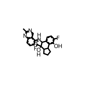 Cc1ncc2c(NC3c4ccc(F)c(O)c4C4CCCC4C3(O)C(F)(F)F)cccc2n1